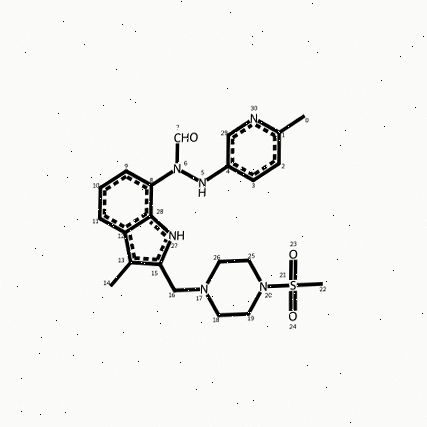 Cc1ccc(NN(C=O)c2cccc3c(C)c(CN4CCN(S(C)(=O)=O)CC4)[nH]c23)cn1